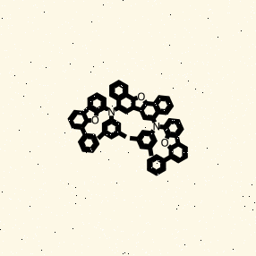 Cc1cc(C)cc(N(C2=CC3C(OC4c5ccccc5C(N(c5cc(C)cc(C)c5)c5cccc6c5OC5C(c7ccccc7)=CC=CC65)=CC43)c3ccccc32)c2cccc3c2OC2C(c4ccccc4)=CC=CC32)c1